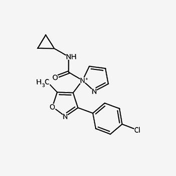 Cc1onc(-c2ccc(Cl)cc2)c1[N+]1(C(=O)NC2CC2)C=CC=N1